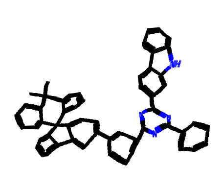 CC1(C)c2ccccc2C2(c3ccccc3-c3cc(-c4cccc(-c5nc(-c6ccccc6)nc(-c6ccc7c(c6)[nH]c6ccccc67)n5)c4)ccc32)c2ccccc21